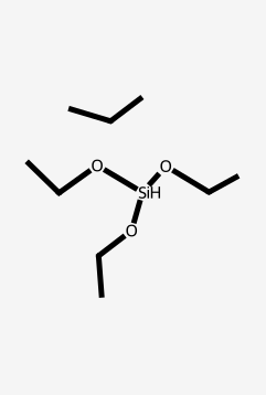 CCC.CCO[SiH](OCC)OCC